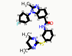 Cc1cc(C)nc(Sc2cccc(NC(=O)c3ccc4nc(C)n(-c5ccc(F)cc5)c4c3)c2)n1